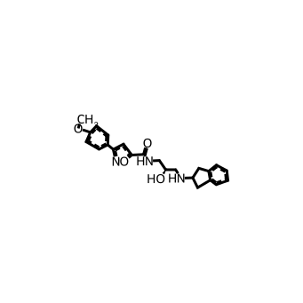 COc1ccc(-c2cc(C(=O)NC[C@H](O)CNC3Cc4ccccc4C3)on2)cc1